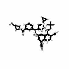 CC(C)(C)CNc1c(C#N)cnc2c(C#N)cc(N[C@@H](c3cccc(C(=O)N4CC(O)C4)c3)c3cn(C4CC4)nn3)cc12